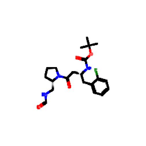 CC(C)(C)OC(=O)N[C@@H](CC(=O)N1CCC[C@H]1CNC=O)Cc1ccccc1F